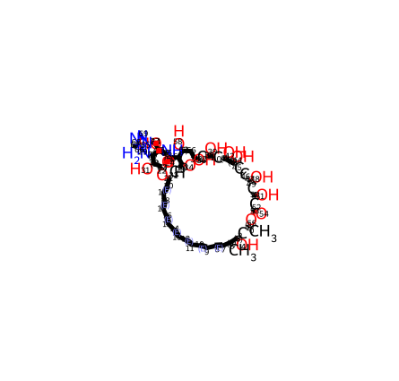 C[C@H]1C[C@H](O)[C@@H](C)/C=C/C=C/C=C/C=C/C=C/C=C/C=C/C(O[C@@H]2OC[C@@H](O)[C@H](N)[C@@H]2O)C[C@@H]2OC(O)(C[C@@H](O)C[C@@H](O)[C@H](O)CCC(O)CC(O)CC(=O)O1)C[C@H](O)C2C(=O)NCCn1ncnn1